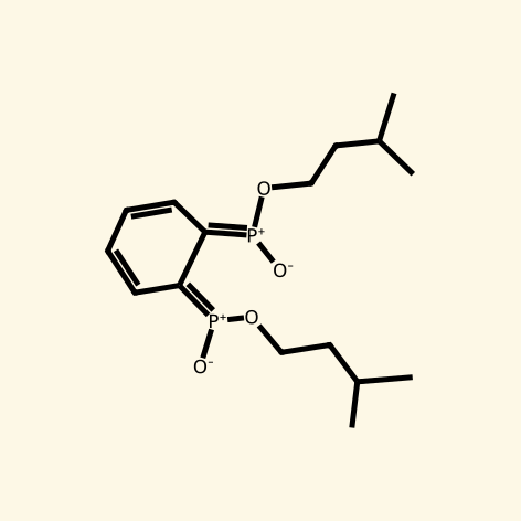 CC(C)CCO/[P+]([O-])=C1/C=CC=C/C1=[P+](/[O-])OCCC(C)C